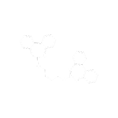 C(=C/COp1oc2ccccc2c2ccccc2o1)/COp1oc2ccccc2c2ccccc2o1